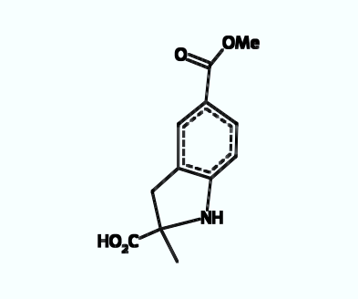 COC(=O)c1ccc2c(c1)CC(C)(C(=O)O)N2